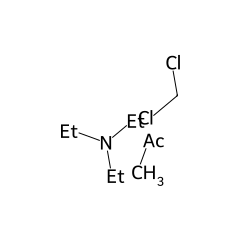 CC(C)=O.CCN(CC)CC.ClCCl